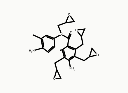 Cc1cc(N(CC2CO2)C(=O)c2c(C)c(CC3CO3)c(N)c(CC3CO3)c2CC2CO2)ccc1N